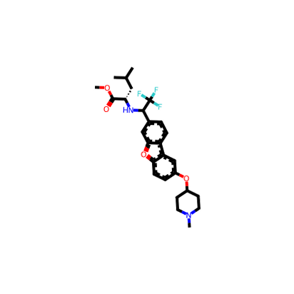 COC(=O)[C@H](CC(C)C)NC(c1ccc2c(c1)oc1ccc(OC3CCN(C)CC3)cc12)C(F)(F)F